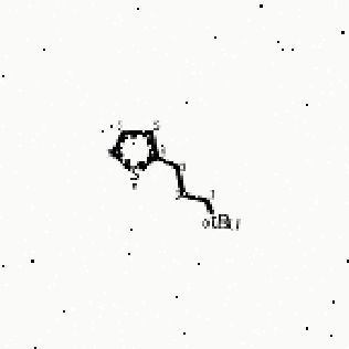 CC(C)(C)CCCc1cccs1